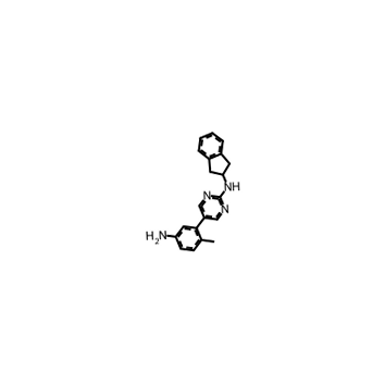 Cc1ccc(N)cc1-c1cnc(NC2Cc3ccccc3C2)nc1